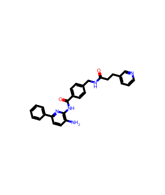 Nc1ccc(-c2ccccc2)nc1NC(=O)c1ccc(CNC(=O)CCc2cccnc2)cc1